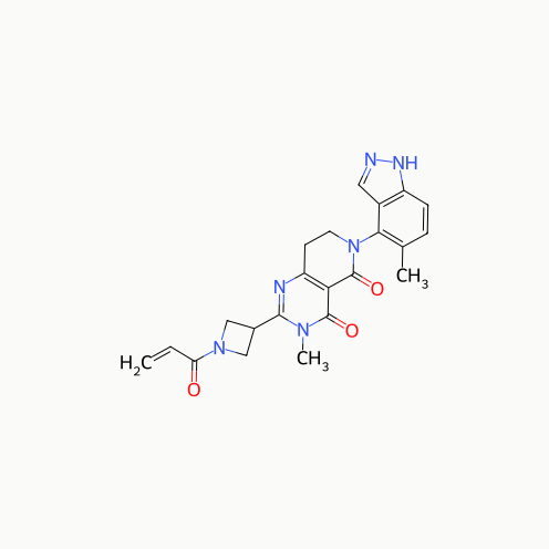 C=CC(=O)N1CC(c2nc3c(c(=O)n2C)C(=O)N(c2c(C)ccc4[nH]ncc24)CC3)C1